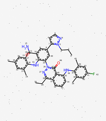 CCCn1nccc1-c1cc(C(N)=O)c(Nc2c(C)cc(C)cc2C)c(-n2nc(CC)c3cccc(Nc4c(C)cc(F)cc4C)c3c2=O)c1